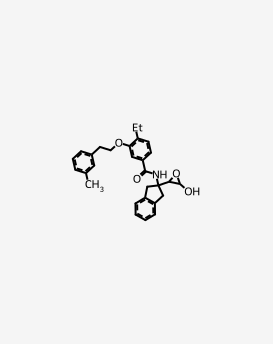 CCc1ccc(C(=O)NC2(C3OC3O)Cc3ccccc3C2)cc1OCCc1cccc(C)c1